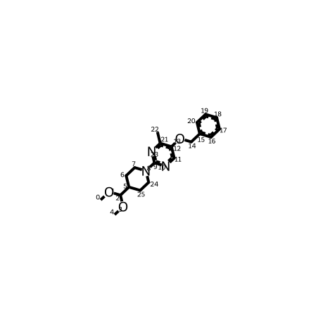 COC(OC)C1CCN(c2ncc(OCc3ccccc3)c(C)n2)CC1